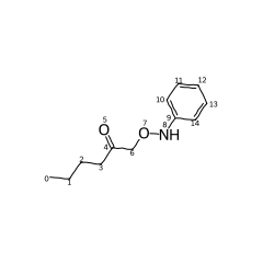 CCCCC(=O)CONc1ccccc1